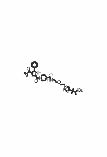 CCC(C)C(C)C(C)(C)c1cn(CCOCCNC(=O)C2CCN(C(=O)C3CC(C(=O)N(C)C)C(c4ccccc4)N3)CC2)nn1